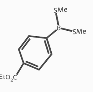 CCOC(=O)c1ccc(B(SC)SC)cc1